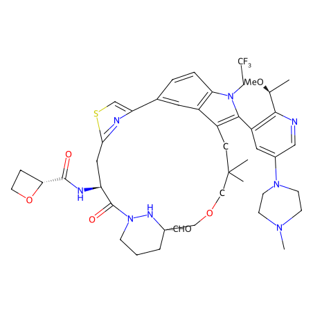 CO[C@@H](C)c1ncc(N2CCN(C)CC2)cc1-c1c2c3cc(ccc3n1CC(F)(F)F)-c1csc(n1)C[C@H](NC(=O)[C@H]1CCO1)C(=O)N1CCC[C@](C=O)(COCC(C)(C)C2)N1